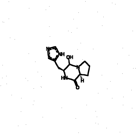 O=C1N[C@@H](Cc2cnc[nH]2)C(O)N2CCC[C@@H]12